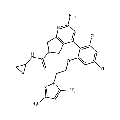 Cc1cc(C(F)(F)F)n(CCOc2cc(Cl)cc(Cl)c2-c2nc(N)nc3c2CN(C(=O)NC2CC2)C3)n1